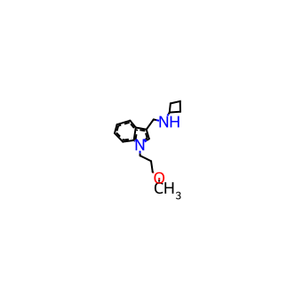 COCCCn1cc(CNC2CCC2)c2ccccc21